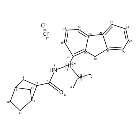 C[SiH](C)[Hf+2]([NH]C(=O)C1CC2CCC1C2)[c]1cccc2c1Cc1ccccc1-2.[Cl-].[Cl-]